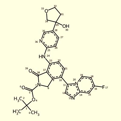 CC(C)(C)OC(=O)N1Cc2c(-c3cnc4cc(F)ccn34)ccc(Nc3ccc(C4(O)CCOC4)cn3)c2C1=O